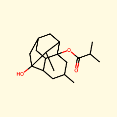 CC1CC2C3CC4CC(C(C)C2(O)C4)C3(OC(=O)C(C)C)C1